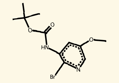 COc1cnc(Br)c(NC(=O)OC(C)(C)C)c1